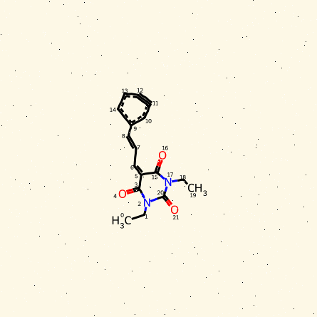 CCN1C(=O)C(=C/C=C/c2cc#ccc2)C(=O)N(CC)C1=O